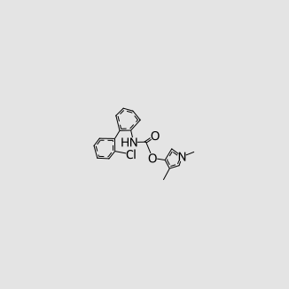 Cc1cn(C)cc1OC(=O)Nc1ccccc1-c1ccccc1Cl